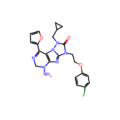 NN1CN=C(c2ccco2)c2c1nc1n(CCOc3ccc(F)cc3)c(=O)n(CC3CC3)n21